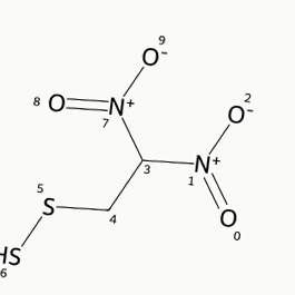 O=[N+]([O-])C(CSS)[N+](=O)[O-]